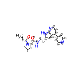 C=CC(=O)N1CCCC1C(=O)NCCc1cc2c(-c3ccncc3)ccnc2[nH]1